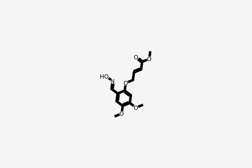 COC(=O)/C=C/COc1cc(OC)c(OC)cc1/C=N/O